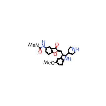 CNC(=O)Nc1ccc2c(c1)C(=O)C(=Cc1c(C3=CCNCC3)[nH]c3ccc(OC)cc13)O2